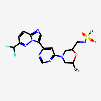 CC1CN(c2cc(-c3cnc4ccc(C(F)F)nn34)ncn2)CC(CNS(C)(=O)=O)O1